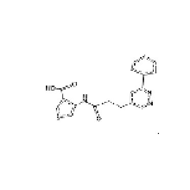 O=C(CCc1cnnc(-c2ccccc2)c1)Nc1cscc1C(=O)O